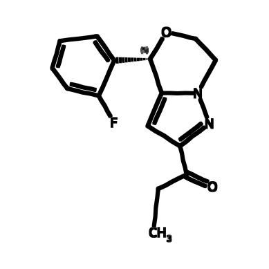 CCC(=O)c1cc2n(n1)CCO[C@H]2c1ccccc1F